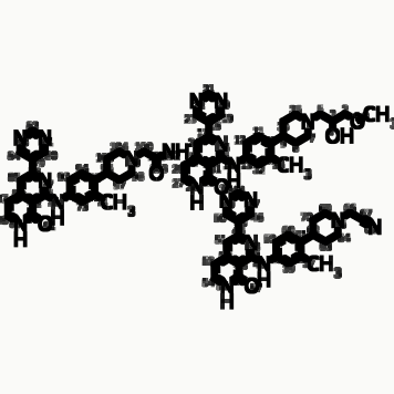 COCC(O)CN1CCC(c2ccc(Nc3nc(-c4cncnc4)cc4cc[nH]c(=O)c34)cc2C)CC1.Cc1cc(Nc2nc(-c3cncnc3)cc3cc[nH]c(=O)c23)ccc1C1CCN(CC#N)CC1.Cc1cc(Nc2nc(-c3cncnc3)cc3cc[nH]c(=O)c23)ccc1C1CCN(CC(N)=O)CC1